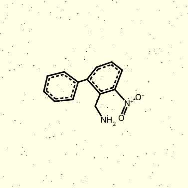 NCc1c(-c2ccccc2)cccc1[N+](=O)[O-]